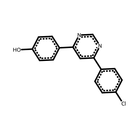 Oc1ccc(-c2cc(-c3ccc(Cl)cc3)ncn2)cc1